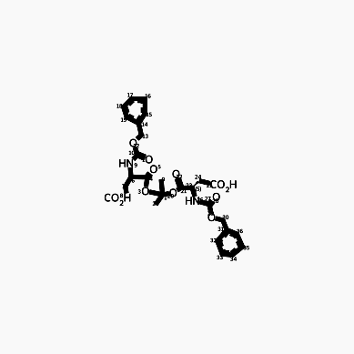 CC(C)(OC(=O)C(CC(=O)O)NC(=O)OCc1ccccc1)OC(=O)[C@H](CC(=O)O)NC(=O)OCc1ccccc1